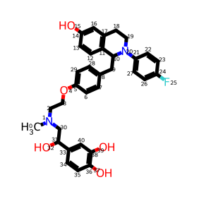 CN(CCOc1ccc(CC2c3ccc(O)cc3CCN2c2ccc(F)cc2)cc1)CC(O)c1ccc(O)c(O)c1